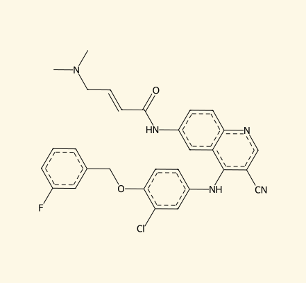 CN(C)CC=CC(=O)Nc1ccc2ncc(C#N)c(Nc3ccc(OCc4cccc(F)c4)c(Cl)c3)c2c1